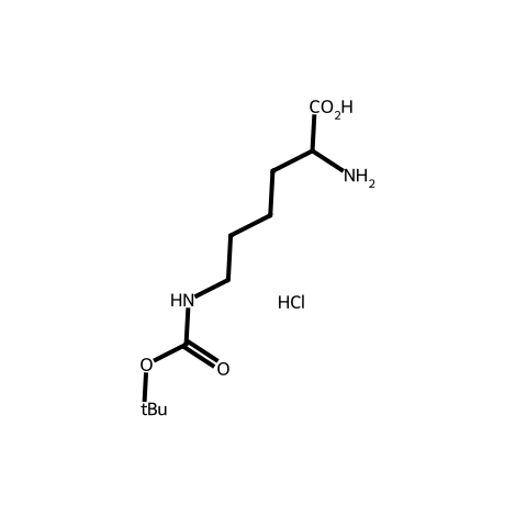 CC(C)(C)OC(=O)NCCCCC(N)C(=O)O.Cl